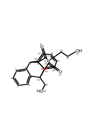 O=C1C2C3c4ccccc4C(CO)(c4ccccc43)C2C(=O)N1CCO